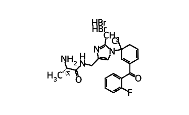 Br.Br.Cc1nc(CNC(=O)[C@H](C)N)cn1C1(Cl)C=C(C(=O)c2ccccc2F)C=CC1